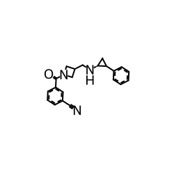 N#Cc1cccc(C(=O)N2CC(CN[C@H]3CC3c3ccccc3)C2)c1